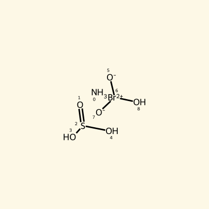 N.O=S(O)O.[O-][Br+2]([O-])O